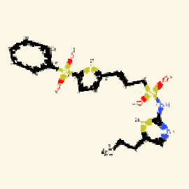 CC(=O)OCCc1cnc(NS(=O)(=O)CC=Cc2ccc(S(=O)(=O)c3ccccc3)s2)s1